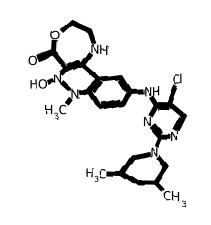 CC1CC(C)CN(c2ncc(Cl)c(Nc3ccc4c(c3)C3=C(C(=O)OCCN3)N(O)N4C)n2)C1